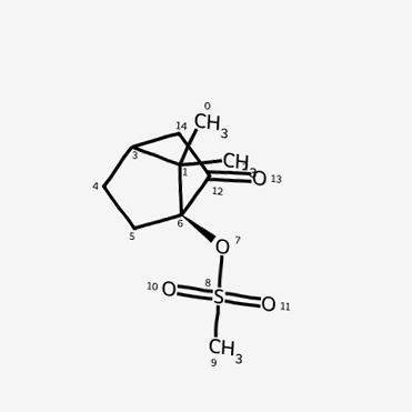 CC1(C)C2CC[C@@]1(OS(C)(=O)=O)C(=O)C2